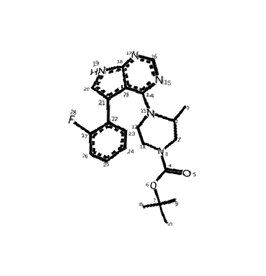 CC1CN(C(=O)OC(C)(C)C)CCN1c1ncnc2[nH]cc(-c3ccccc3F)c12